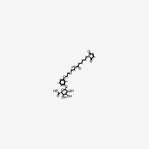 O=C(CCCCCN1C(=O)C=CC1=O)NCCOCCOc1cccc(O[C@@H]2O[C@H](C(=O)O)[C@@H](O)[C@H](O)[C@H]2O)c1